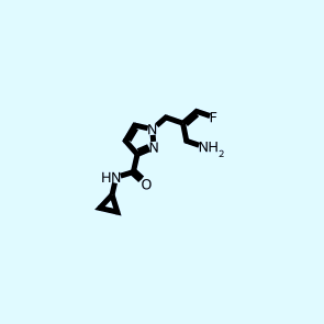 NC/C(=C\F)Cn1ccc(C(=O)NC2CC2)n1